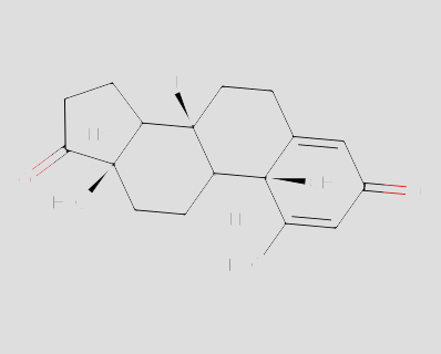 CC1=CC(=O)C=C2CC[C@@H]3[C@H](CC[C@]4(C)C(=O)CC[C@@H]34)[C@@]12C